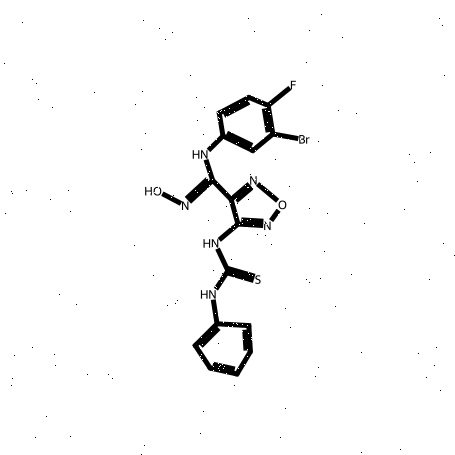 O/N=C(\Nc1ccc(F)c(Br)c1)c1nonc1NC(=S)Nc1ccccc1